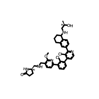 COc1nc(-c2cccc(-c3ccnc(-c4ccc5c(c4)CCCC5NC[C@@H](C)O)c3Cl)c2Cl)ccc1CNC[C@H]1CCC(=O)N1